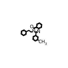 Cc1cccc(-c2nc3ccccc3c(=O)n2CCc2ccccc2)c1